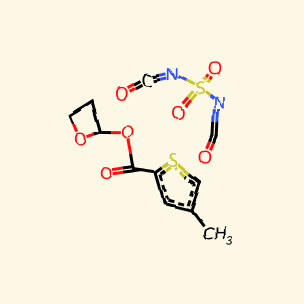 Cc1csc(C(=O)OC2CCO2)c1.O=C=NS(=O)(=O)N=C=O